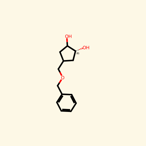 OC1CC(COCc2ccccc2)C[C@H]1O